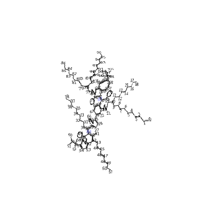 CCCCCCCCCCC(CCCCCCCC)CN(C)c1cc(-c2ccc(/C(CCCCCCCCC)=c3\c(C)c(CCCCCCCCC)c4ccc(C(C)(C)C(C)C)n4c3=O)n2C)ccc1/C(C=O)=C1\C(=O)N(CC(CCCCCCCC)CCCCCCCCCC)c2cc(C(C)(C)C(C)C)ccc21